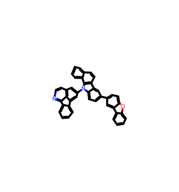 c1ccc2c(c1)-c1cc(-n3c4ccc(-c5ccc6oc7ccccc7c6c5)cc4c4ccc5ccccc5c43)cc3ccnc-2c13